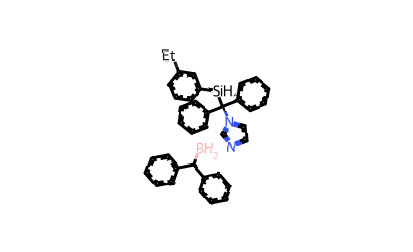 BC(c1ccccc1)c1ccccc1.CCc1cccc([SiH2]C(c2ccccc2)(c2ccccc2)n2ccnc2)c1